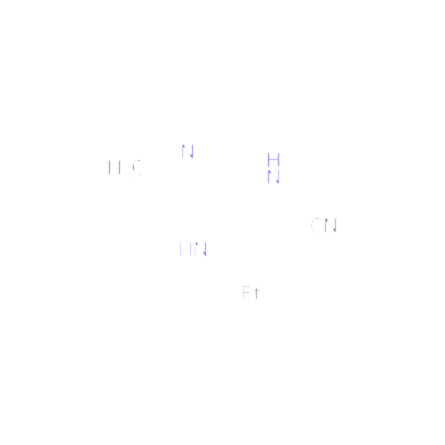 CCN/C(=N\C)NC#N